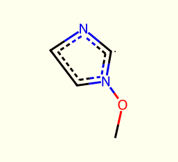 COn1[c]ncc1